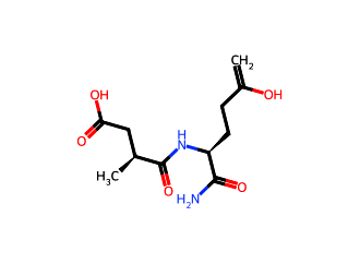 C=C(O)CC[C@H](NC(=O)[C@@H](C)CC(=O)O)C(N)=O